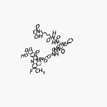 Cc1c(F)cc2nc3c(c4c2c1CC[C@@H]4NC(=O)COCNC(=O)CNC(=O)[C@H](Cc1ccccc1)NC(=O)CNC(=O)CNC(=O)CCCCCN1C(=O)C=CC1O)Cn1c-3cc2c(c1=O)COC(=O)[C@H]2O